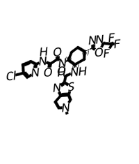 CN1CCc2nc(C(=O)N[C@@H]3C[C@@H](c4nnc(C(F)(F)F)o4)CC[C@@H]3NC(=O)C(=O)Nc3ccc(Cl)cn3)sc2C1